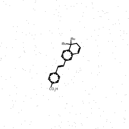 CCC(C)C1(C(C)CC)CC=Cc2cc(/C=C/c3ccc(C(=O)O)cc3)ccc21